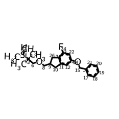 C[SiH](C)C(C)(C)COCC1Cc2cc(OCc3ccccc3)cc(F)c2C1